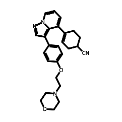 N#CC1CC=C(c2cccn3ncc(-c4ccc(OCCN5CCOCC5)cc4)c23)CC1